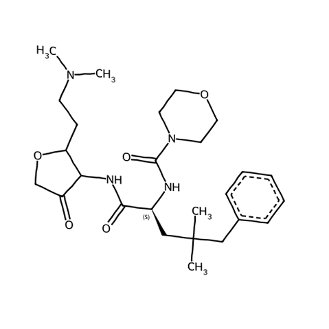 CN(C)CCC1OCC(=O)C1NC(=O)[C@H](CC(C)(C)Cc1ccccc1)NC(=O)N1CCOCC1